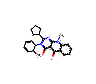 CC1C=CC=CC1n1c(C2CCCC2)nc2c(c(=O)c3ccccc3n2C)c1=O